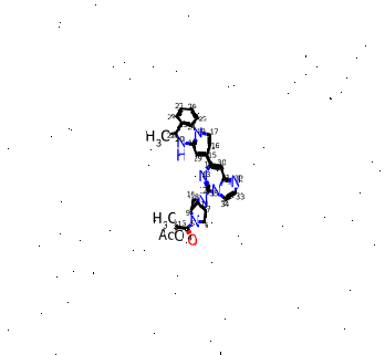 CC(=O)OC(C)C(=O)N1CC2CC1CN2c1nc(-c2ccnc(N[C@@H](C)c3ccccc3)c2)cc2nccn12